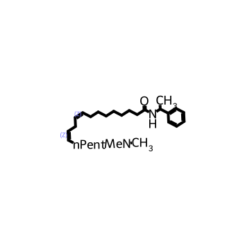 CCCCC/C=C\C/C=C\CCCCCCCC(=O)NC(C)c1ccccc1.CNC